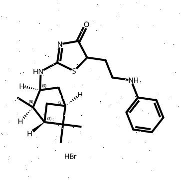 Br.C[C@H]1[C@@H](NC2=NC(=O)C(CCNc3ccccc3)S2)C[C@@H]2C[C@@H]1C2(C)C